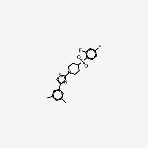 Cc1cc(C)cc(-c2csc(N3CCC(S(=O)(=O)c4ccc(F)cc4F)CC3)n2)c1